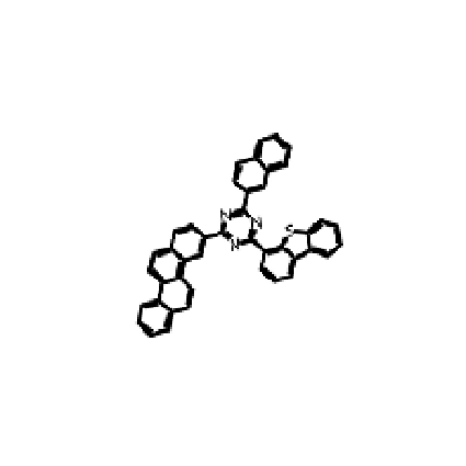 c1ccc2cc(-c3nc(-c4ccc5ccc6c7ccccc7ccc6c5c4)nc(-c4cccc5c4sc4ccccc45)n3)ccc2c1